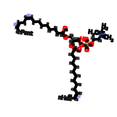 CCCCC/C=C\C/C=C\CCCCCCCC(=O)OC[C@H](COP(=O)(O)OCC[N+](C)(C)C)OC(=O)CCCCCCCCC/C=C\CCCCCC